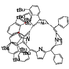 CC(C)(C)c1cccc(C2=Cc3nc2c(-c2ccccc2)c2c(-c4cccc(C(C)(C)C)c4C(C)(C)C)c(-c4cccc(C(C)(C)C)c4C(C)(C)C)c(c(-c4ccccc4)c4nc(c(-c5ccccc5)c5ccc([nH]5)c3-c3ccccc3)C=C4)n2-c2cccc(C(C)(C)C)c2C(C)(C)C)c1C(C)(C)C